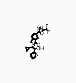 O=C1c2cc(-c3nnc(C(F)F)o3)ccc2CN1[C@H](C1CC1)[C@@H](O)c1ccccn1